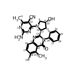 Cc1nc(N)nc(N2C[C@@H](O)C[C@H]2c2nc3ccc(F)c(C)c3c(=O)n2-c2ccccc2)c1C#N